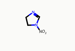 O=[N+]([O-])N1C=NCC1